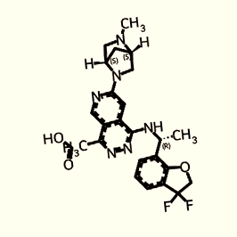 Cc1nnc(N[C@H](C)c2cccc3c2OCC3(F)F)c2cc(N3C[C@@H]4C[C@H]3CN4C)ncc12.O=CO